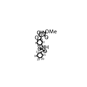 CONC(=O)c1c(C)oc2ccc(NS(=O)(=O)c3ccccc3)cc12